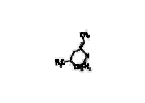 C=N/C(=C/C)CC(C)C